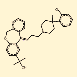 CC(C)(O)c1ccc2c(c1)/C(=C/CCN1CCC(C)(c3ccccc3Cl)CC1)c1cccnc1CO2